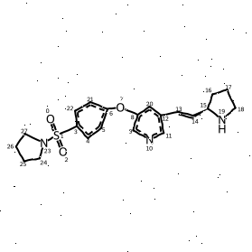 O=S(=O)(c1ccc(Oc2cncc(C=C[C@H]3CCCN3)c2)cc1)N1CCCC1